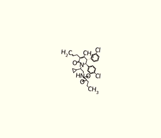 C=CCC1=C(C)[C@H](c2cccc(Cl)c2)[C@@H](c2ccc(Cl)cc2)N(C(CNS(=O)(=O)CCC)C2CC2)C1=O